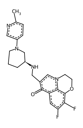 Cc1ccc(N2CCC[C@H](NCc3cn4c5c(c(F)c(F)cc5c3=O)OCC4)C2)cn1